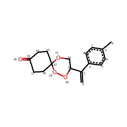 C=C(c1ccc(C)cc1)C1COC2(CCC(=O)CC2)OO1